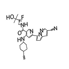 C#CC1CCC(Nc2cc(-c3ccc4cc(C#N)cnn34)ncc2C(=O)NC[C@@H](F)C(C)(C)O)CC1